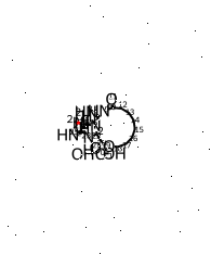 O=CO.[2H]C([2H])([2H])N1C(=N)NC(=O)CCCCCCCOC(=O)C1NC(=N)N